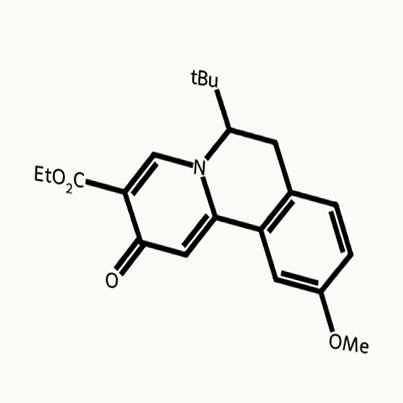 CCOC(=O)c1cn2c(cc1=O)-c1cc(OC)ccc1CC2C(C)(C)C